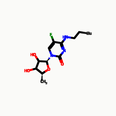 CCC(C)CCNc1nc(=O)n([C@@H]2O[C@H](C)C(O)C2O)cc1F